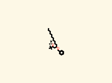 CCCCCCCCCCCC(CC(O[SiH](C)C)C(C)(C)C)OCc1ccccc1